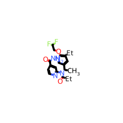 CCC(=O)N(c1cc(C(N)=O)ccn1)C(C)c1cnc(OCC(F)F)c(CC)c1